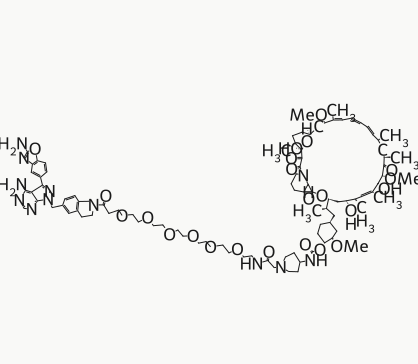 CO[C@H]1C[C@@H]2CC[C@@H](C)[C@@](O)(O2)C(=O)C(=O)N2CCCC[C@H]2C(=O)O[C@H]([C@H](C)C[C@@H]2CC[C@@H](OC(=O)NC3CCN(CC(=O)NCCOCCOCCOCCOCCOCCOCCC(=O)N4CCc5cc(Cn6nc(-c7ccc8oc(N)nc8c7)c7c(N)ncnc76)ccc5C4)CC3)[C@H](OC)C2)C[C@@H](O)[C@H](C)/C=C(\C)[C@@H](O)[C@@H](OC)C(=O)[C@H](C)C[C@H](C)/C=C/C=C/C=C/1C